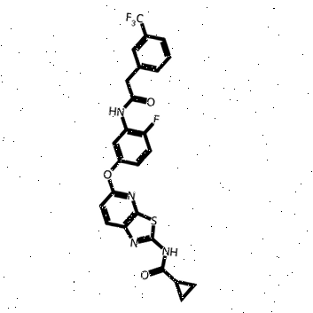 O=C(Cc1cccc(C(F)(F)F)c1)Nc1cc(Oc2ccc3nc(NC(=O)C4CC4)sc3n2)ccc1F